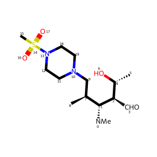 CN[C@@H]([C@H](C=O)[C@@H](C)O)[C@@H](C)CN1CCN(S(C)(=O)=O)CC1